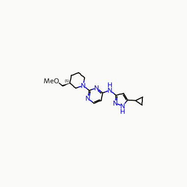 COC[C@H]1CCCN(c2nccc(Nc3cc(C4CC4)[nH]n3)n2)C1